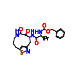 CC(C)C(NC(=O)OCc1ccccc1)C(=O)NC1Cc2cc(sn2)CCCNC(=O)C1=O